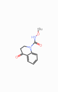 CC(C)(C)ONC(=O)N1CCC(=O)c2ccccc21